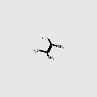 [SiH3]C([SiH3])=C([SiH3])[SiH3]